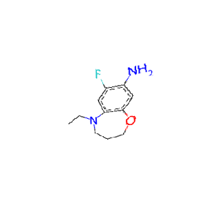 CCN1CCCOc2cc(N)c(F)cc21